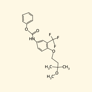 COC(C)(C)CCOc1ccc(NC(=O)Oc2ccccc2)cc1C(F)(F)F